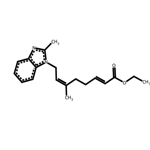 CCOC(=O)C=CCCC(C)=CCn1c(C)nc2ccccc21